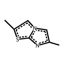 Cc1cn2cc(C)sc2n1